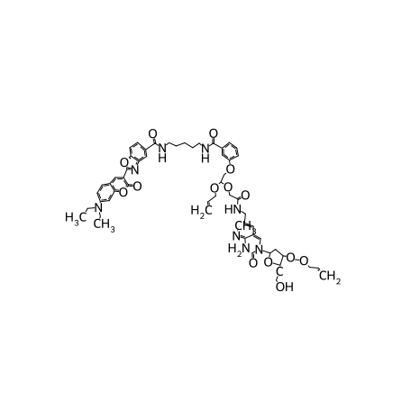 C=CCOCO[C@@H]1CC(N(C=O)/C=C(/C=C/CNC(=O)COC(COc2cccc(C(=O)NCCCCCNC(=O)c3ccc4oc(-c5cc6ccc(N(CC)CC)cc6oc5=O)nc4c3)c2)OCC=C)C(\N)=N/C)OC1CCO